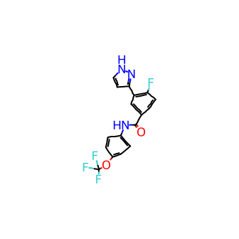 O=C(Nc1ccc(OC(F)(F)F)cc1)c1ccc(F)c(-c2cc[nH]n2)c1